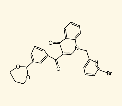 O=C(c1cccc(C2OCCCO2)c1)c1cn(Cc2cccc(Br)n2)c2ccccc2c1=O